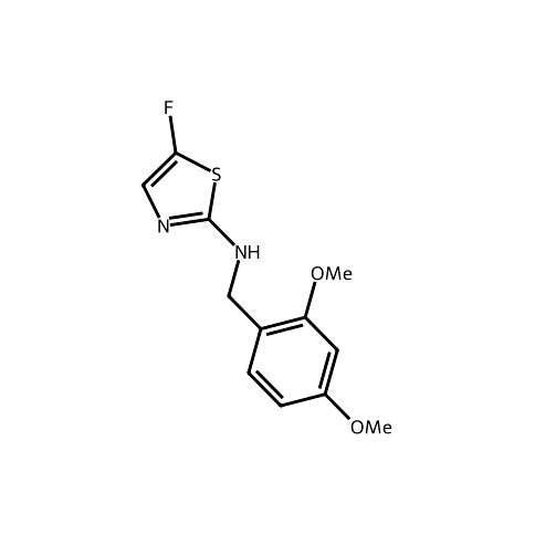 COc1ccc(CNc2ncc(F)s2)c(OC)c1